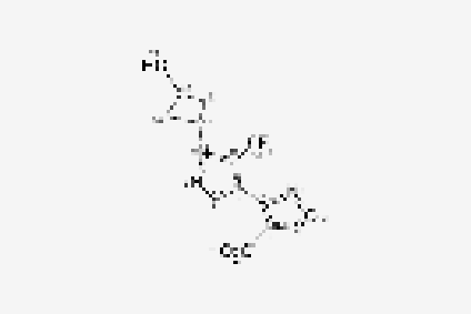 O=C(O)c1conc1-c1cnn(C2CC(O)C2)c1C(F)(F)F